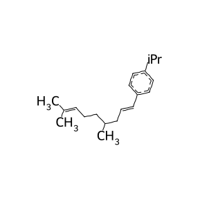 CC(C)=CCCC(C)CC=Cc1ccc(C(C)C)cc1